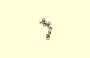 O=C1CCC(N2Cc3cc(C4CCN(Cc5cccc(Cl)n5)CC4)c(F)cc3C2=O)C(=O)N1